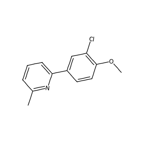 COc1ccc(-c2cccc(C)n2)cc1Cl